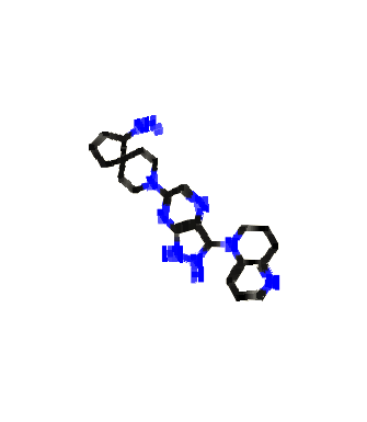 NC1CCCC12CCN(c1cnc3c(n1)NNC3N1CCCc3ncccc31)CC2